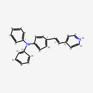 C(=C\c1ccc(N(c2ccccc2)c2ccccc2)cc1)/c1ccncc1